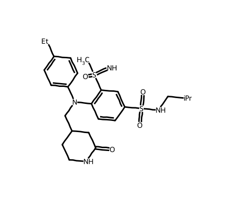 CCc1ccc(N(CC2CCNC(=O)C2)c2ccc(S(=O)(=O)NCC(C)C)cc2S(C)(=N)=O)cc1